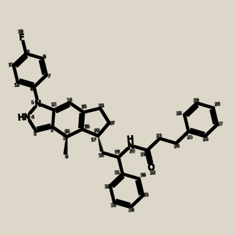 C[C@H]1C2=CNN(c3ccc(F)cc3)C2=CC2=C1[C@@H](CC(NC(=O)CCc1ccccc1)c1ccccc1)CC2